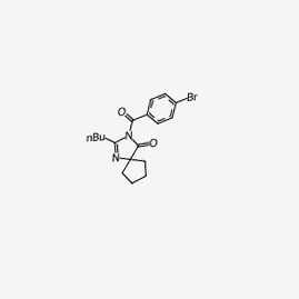 CCCCC1=NC2(CCCC2)C(=O)N1C(=O)c1ccc(Br)cc1